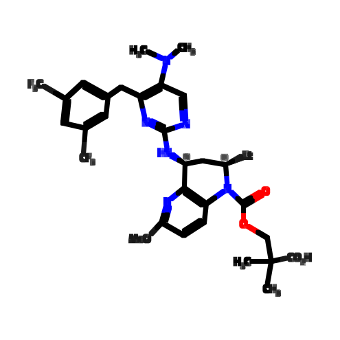 CC[C@@H]1C[C@H](Nc2ncc(N(C)C)c(Cc3cc(C(F)(F)F)cc(C(F)(F)F)c3)n2)c2nc(OC)ccc2N1C(=O)OCC(C)(C)C(=O)O